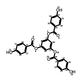 O=C(Oc1cc(OC(=O)c2ccc(O)cc2)cc(OC(=O)c2ccc(O)cc2)c1)c1ccc(O)cc1